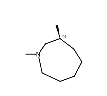 C[C@H]1CCCCCN(C)C1